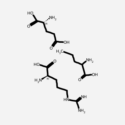 CCCC(N)C(=O)O.N=C(N)NCCC[C@@H](N)C(=O)O.N[C@H](CCC(=O)O)C(=O)O